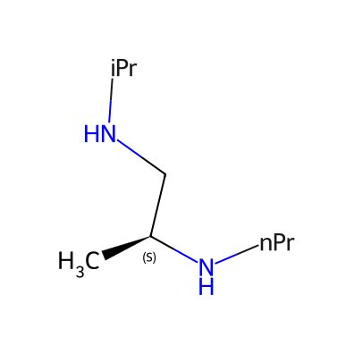 CCCN[C@@H](C)CNC(C)C